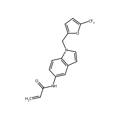 C=CC(=O)Nc1ccc2c(ccn2Cc2ccc(C(F)(F)F)o2)c1